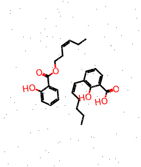 CC/C=C\CCOC(=O)c1ccccc1O.CCCC/C=C\c1cccc(C(=O)O)c1O